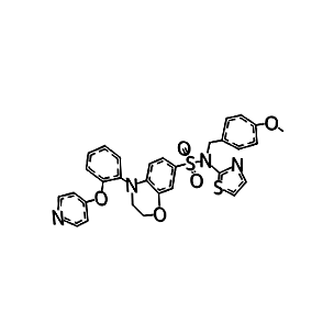 COc1ccc(CN(c2nccs2)S(=O)(=O)c2ccc3c(c2)OCCN3c2ccccc2Oc2ccncc2)cc1